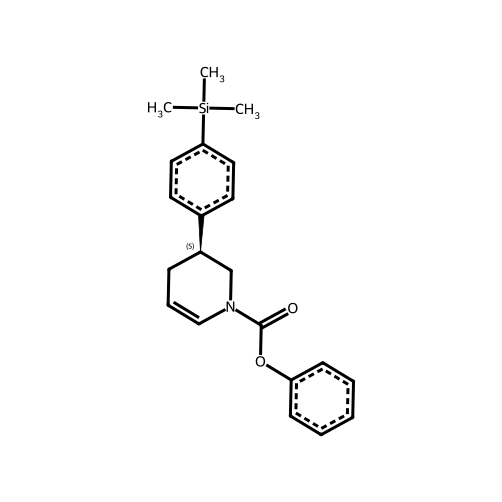 C[Si](C)(C)c1ccc([C@@H]2CC=CN(C(=O)Oc3ccccc3)C2)cc1